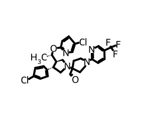 C[C@H](Oc1ccc(Cl)cn1)[C@H]1CN(C2(C=O)CCN(c3ccc(C(F)(F)F)cn3)CC2)C[C@@H]1c1ccc(Cl)cc1